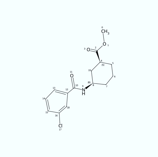 COC(=O)[C@H]1CCC[C@@H](NC(=O)c2cccc(Cl)c2)C1